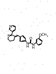 COc1cccc(NC(=O)Nc2ccc(/C=C3\CCCN=C3c3cccnc3)cc2)c1